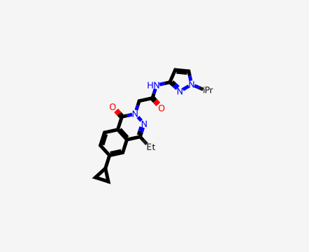 CCc1nn(CC(=O)Nc2ccn(C(C)C)n2)c(=O)c2ccc(C3CC3)cc12